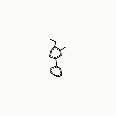 [CH2]c1cc(-c2ccccc2)ccc1CC